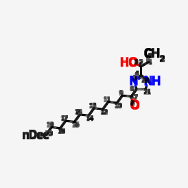 C=CC(O)C1=NC(C(=O)CCCCCCCCCCCCCCCCCCCCC)CN1